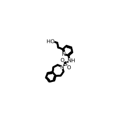 O=S(=O)(Nc1cccc(CCO)n1)N1CCc2ccccc2CC1